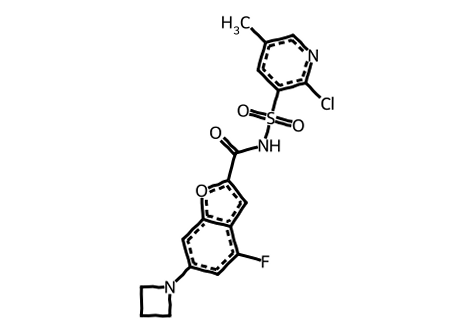 Cc1cnc(Cl)c(S(=O)(=O)NC(=O)c2cc3c(F)cc(N4CCC4)cc3o2)c1